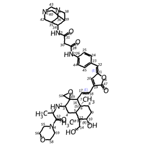 CC(NC1CC2[C@](C)(CC[C@@H](O)[C@@]2(C)CO)C(/C=C/C2=CC(=C\c3ccc(NC(=O)CC(=O)NC4C5CN6CC4CN(C5)C6)cc3)/OC2=O)C12CO2)C(=O)N1CCOCC1